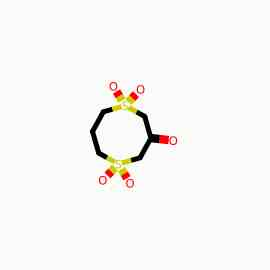 O=C1CS(=O)(=O)CCCS(=O)(=O)C1